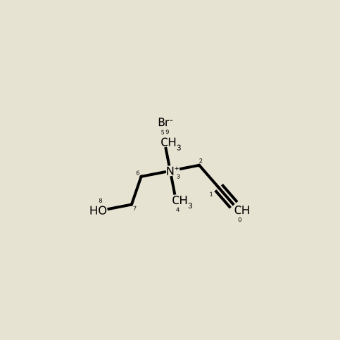 C#CC[N+](C)(C)CCO.[Br-]